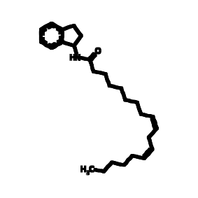 CCCCC/C=C\C/C=C\CCCCCCCC(=O)NC1CCc2ccccc21